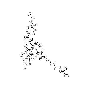 C=CC(=O)OCCCCCCOC(=O)CC1CC(CCCCC)(c2ccccc2C2CCC(OC(=O)C3CCC(CCCCC)CC3)CC2)CCC1C(=O)O